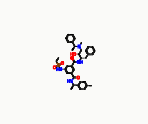 CCS(=O)(=O)Nc1cc(C(=O)N[C@@H](Cc2ccccc2)[C@H](O)CN(C)[C@@H](C)c2ccccc2)cc(C(=O)N[C@H](C)c2ccc(C)cc2)c1